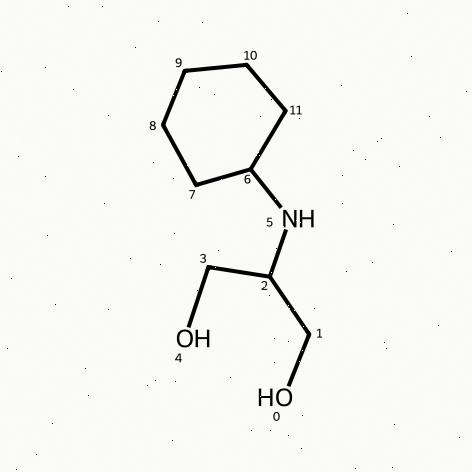 OCC(CO)NC1CCCCC1